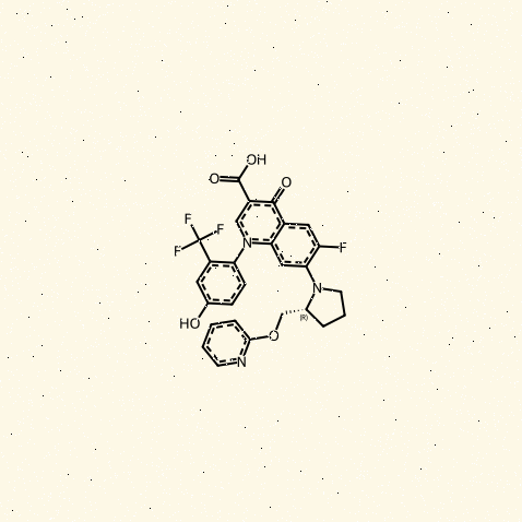 O=C(O)c1cn(-c2ccc(O)cc2C(F)(F)F)c2cc(N3CCC[C@@H]3COc3ccccn3)c(F)cc2c1=O